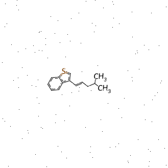 CC(C)C/C=C/c1csc2ccccc12